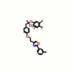 Cc1cccc(-c2nc(CCOc3ccc(CC(C)(Oc4ccc(F)c(F)c4)C(=O)O)cc3)co2)c1